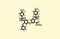 COC(=O)c1cc(Oc2ccc(NS(=O)(=O)c3ccc(C)cc3)c(Cc3ccccc3)c2)ccc1NS(=O)(=O)c1ccc(C)cc1